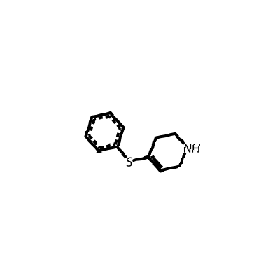 C1=C(Sc2ccccc2)CCNC1